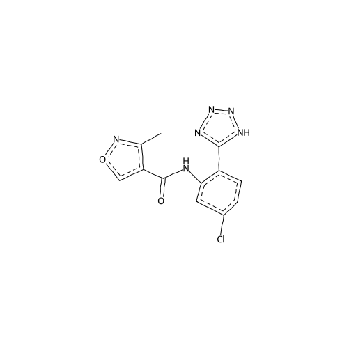 Cc1nocc1C(=O)Nc1cc(Cl)ccc1-c1nnn[nH]1